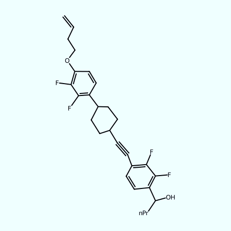 C=CCCOc1ccc(C2CCC(C#Cc3ccc(C(O)CCC)c(F)c3F)CC2)c(F)c1F